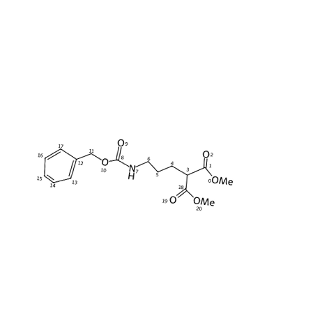 COC(=O)C(CCCNC(=O)OCc1ccccc1)C(=O)OC